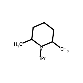 [CH2]CCN1C(C)CCCC1C